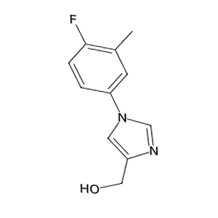 Cc1cc(-n2cnc(CO)c2)ccc1F